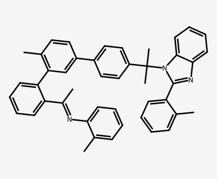 C/C(=N\c1ccccc1C)c1ccccc1-c1cc(-c2ccc(C(C)(C)n3c(-c4ccccc4C)nc4ccccc43)cc2)ccc1C